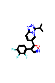 CC(C)c1nnc2ccc(-c3oncc3-c3ccc(F)c(F)c3F)cn12